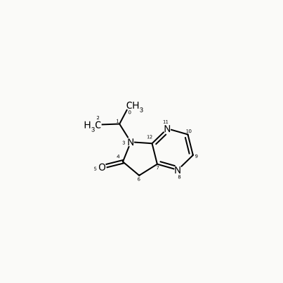 CC(C)N1C(=O)Cc2nccnc21